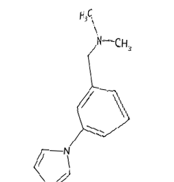 CN(C)Cc1cccc(-n2cccc2)c1